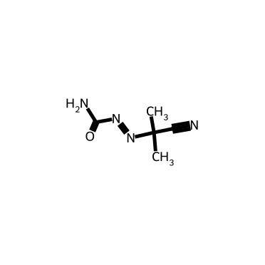 CC(C)(C#N)/N=N/C(N)=O